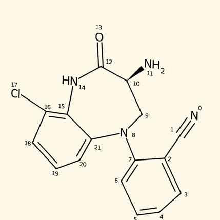 N#Cc1ccccc1N1C[C@H](N)C(=O)Nc2c(Cl)cccc21